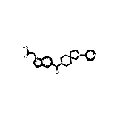 O=C(O)Cn1ccc2cc(C(=O)N3CCC4(CC3)CCN(c3ccncc3)C4)ccc21